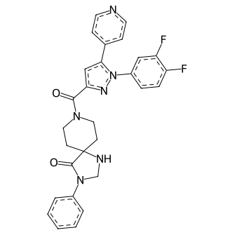 O=C(c1cc(-c2ccncc2)n(-c2ccc(F)c(F)c2)n1)N1CCC2(CC1)NCN(c1ccccc1)C2=O